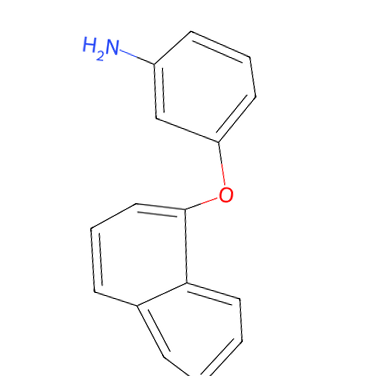 Nc1cccc(Oc2cccc3ccccc23)c1